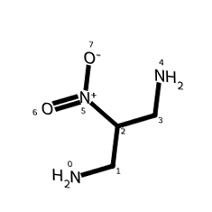 NCC(CN)[N+](=O)[O-]